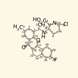 Cc1cc([C@H](C)Nc2ccc(Cl)nc2C(=O)O)c2oc3c(c(=O)c2c1)CCc1cc(F)ccc1-3